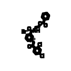 O=C(NCCOC(=O)c1ccccc1)c1ccc[n+](CC(=O)c2ccc(Cl)cc2Cl)c1.[Br-]